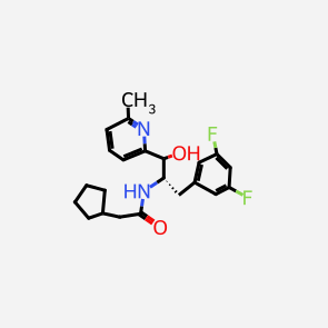 Cc1cccc(C(O)[C@H](Cc2cc(F)cc(F)c2)NC(=O)CC2CCCC2)n1